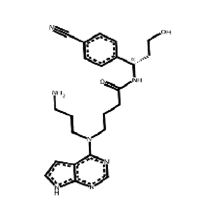 N#Cc1ccc([C@H](CCO)NC(=O)CCCN(CCCN)c2ncnc3[nH]ccc23)cc1